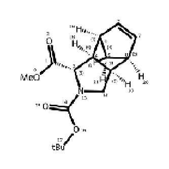 COC(=O)[C@@H]1[C@H]2[C@H]3C=C[C@H]([C@H]3F)[C@H]2CN1C(=O)OC(C)(C)C